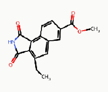 CCc1cc2cc(C(=O)OC)ccc2c2c1C(=O)NC2=O